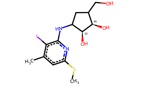 CSc1cc(C)c(I)c(NC2CC(CO)[C@@H](O)[C@H]2O)n1